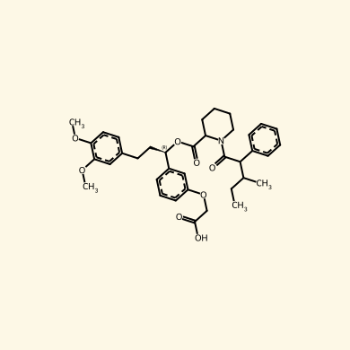 CCC(C)C(C(=O)N1CCCCC1C(=O)O[C@H](CCc1ccc(OC)c(OC)c1)c1cccc(OCC(=O)O)c1)c1ccccc1